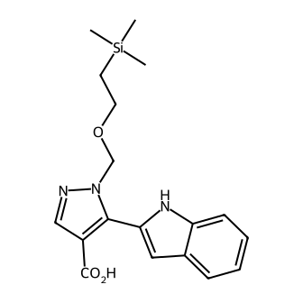 C[Si](C)(C)CCOCn1ncc(C(=O)O)c1-c1cc2ccccc2[nH]1